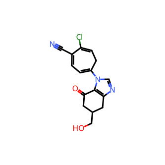 N#CC1=CC=C(n2cnc3c2C(=O)CC(CO)C3)CC=C1Cl